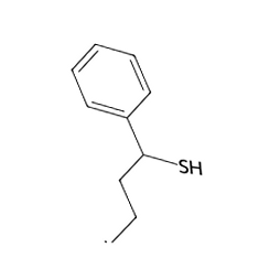 [CH2]CCC(S)c1ccccc1